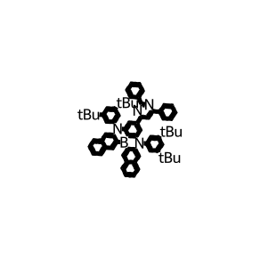 CC(C)(C)c1cc(N2c3cc4ccccc4cc3B3c4cc5ccccc5cc4N(c4cc(C(C)(C)C)cc(C(C)(C)C)c4)c4cc(-c5cc(-c6ccccc6)nc(-c6ccccc6)n5)cc2c43)cc(C(C)(C)C)c1